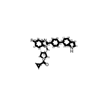 O=C(C1CC1)N1CC[C@H](Cn2c(-c3ccc(-c4ccc5cc[nH]c5c4)cc3)nc3cc(F)ccc32)C1